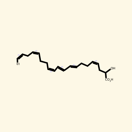 CC/C=C\C/C=C\CC\C=C/C=C/C=C/CC/C=C\CC(O)C(=O)O